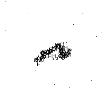 Cn1nc(C2CCC(=O)NC2=O)c2cccc(C3CCN(CC4(F)CCN(c5ncc(Cl)c(Nc6ccc7c(c6)c6c(c(=O)n7C)OCC(F)(F)[C@H](C7CC7)N6)n5)CC4)CC3)c21